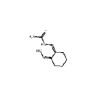 NC(=S)N/N=C1/CCCC/C1=N/O